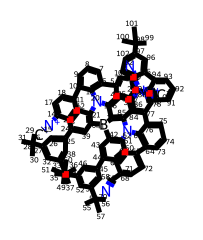 [C-]#[N+]c1ccc(-c2cccc(-c3ccc([N+]#[C-])cc3)c2N2c3ccc(-c4cc(C(C)(C)C)cc(C(C)(C)C)c4)cc3B3c4cc(-c5cc(C(C)(C)C)cc(C(C)(C)C)c5)ccc4N(c4c(-c5ccc(C#N)cc5)cccc4-c4ccc(C#N)cc4)c4cc(-n5c6ccccc6c6cc(C(C)(C)C)ccc65)cc2c43)cc1